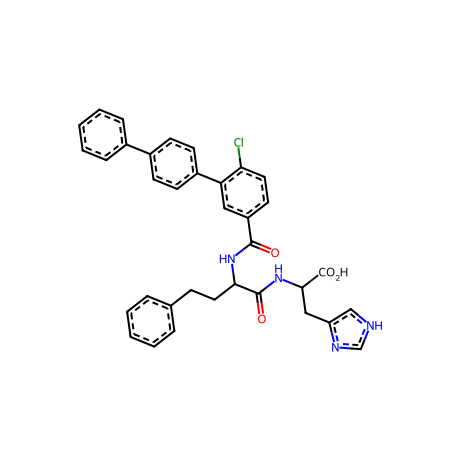 O=C(NC(CCc1ccccc1)C(=O)NC(Cc1c[nH]cn1)C(=O)O)c1ccc(Cl)c(-c2ccc(-c3ccccc3)cc2)c1